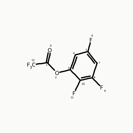 O=C(Oc1cc(F)cc(F)c1F)C(F)(F)F